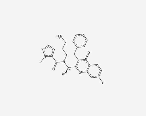 CC(C)[C@H](c1oc2cc(F)ccc2c(=O)c1Cc1ccccc1)N(CCCN)C(=O)c1cccn1C